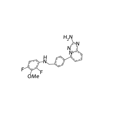 COc1c(F)ccc(NCc2ccc(-c3cccc4nc(N)nn34)cc2)c1F